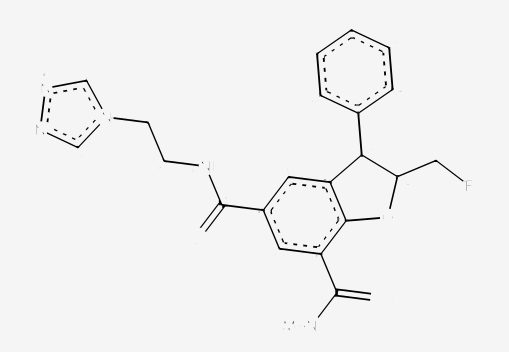 CNC(=O)c1cc(C(=O)NCCn2cnnc2)cc2c1OC(CF)C2c1ccccc1